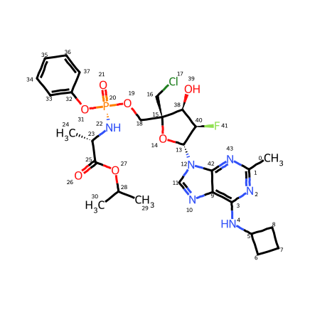 Cc1nc(NC2CCC2)c2ncn([C@@H]3O[C@](CCl)(CO[P@@](=O)(N[C@@H](C)C(=O)OC(C)C)Oc4ccccc4)[C@@H](O)[C@H]3F)c2n1